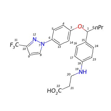 CCCC(Oc1ccc(-n2ccc(C(F)(F)F)n2)cc1)c1ccc(NCCC(=O)O)cc1